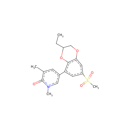 CCC1COc2cc(S(C)(=O)=O)cc(-c3cc(C)c(=O)n(C)c3)c2O1